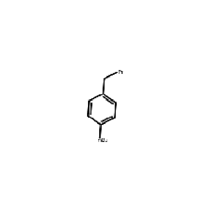 [CH2]CCCc1ccc(CC(C)C)cc1